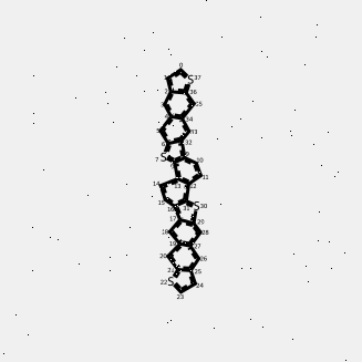 c1cc2cc3cc4sc5c(ccc6c5ccc5c7cc8cc9sccc9cc8cc7sc56)c4cc3cc2s1